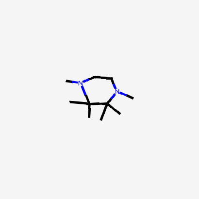 CN1CCN(C)C(C)(C)C1(C)C